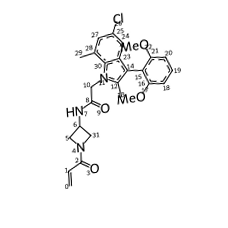 C=CC(=O)N1CC(NC(=O)Cn2c(C)c(-c3c(OC)cccc3OC)c3cc(Cl)cc(C)c32)C1